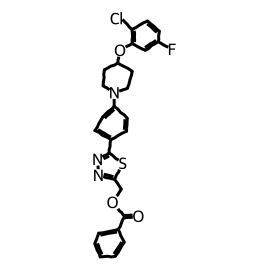 O=C(OCc1nnc(-c2ccc(N3CCC(Oc4cc(F)ccc4Cl)CC3)cc2)s1)c1ccccc1